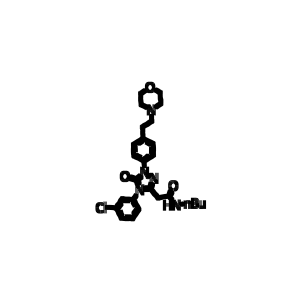 CCCCNC(=O)Cc1nn(-c2ccc(CCN3CCOCC3)cc2)c(=O)n1-c1cccc(Cl)c1